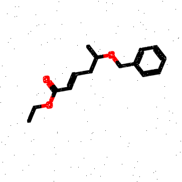 CCOC(=O)C=CCC(C)OCc1ccccc1